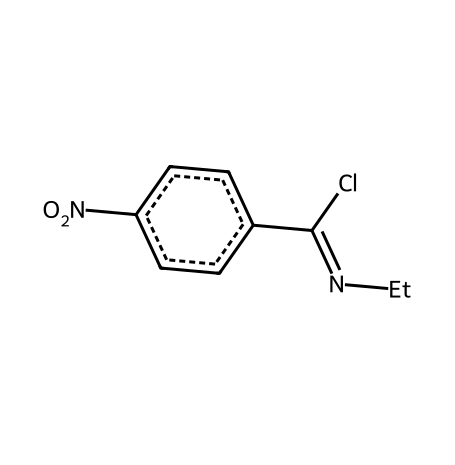 CCN=C(Cl)c1ccc([N+](=O)[O-])cc1